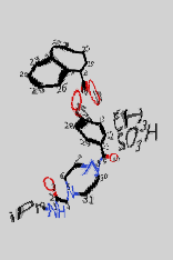 CC(C)NC(=O)CN1CCN(C(=O)c2ccc(OC(=O)C3CCCc4ccccc43)cc2)CC1.CS(=O)(=O)O